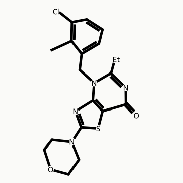 CCc1nc(=O)c2sc(N3CCOCC3)nc2n1Cc1cccc(Cl)c1C